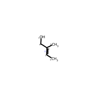 C/C=C(\C)[CH]O